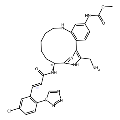 COC(=O)Nc1ccc2c(c1)NCCCCC[C@H](NC(=O)/C=C/c1cc(Cl)ccc1-n1cnnn1)c1nc-2c(CN)[nH]1